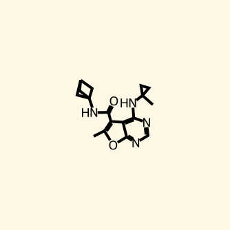 Cc1oc2ncnc(NC3(C)CC3)c2c1C(=O)NC12CC(C1)C2